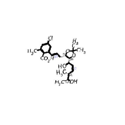 Cc1cc(Cl)cc(/C=C/C[C@@H]2OC(C)(C)O[C@@H]2C(O)/C=C\[C@@H](C)[C@H](C)O)c1C(=O)O